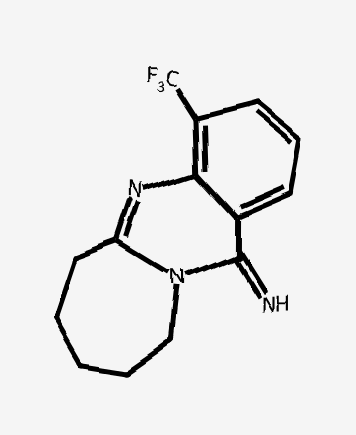 N=c1c2cccc(C(F)(F)F)c2nc2n1CCCCC2